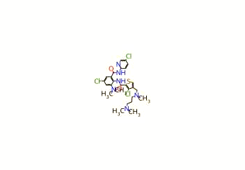 CN(C)CCCN(C)Cc1csc(C(=O)Nc2c(C(=O)Nc3ccc(Cl)cn3)cc(Cl)cc2N(C)C)c1Cl